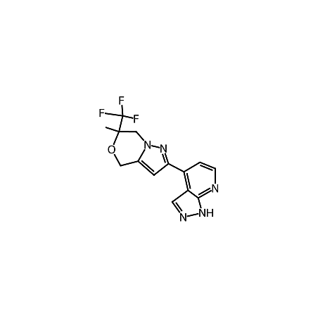 CC1(C(F)(F)F)Cn2nc(-c3ccnc4[nH]ncc34)cc2CO1